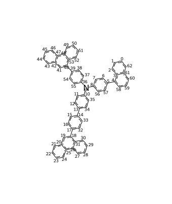 c1ccc2c(-c3ccc(N(c4ccc(-c5ccc(-c6cc7ccccc7c7ccccc67)cc5)cc4)c4ccc(-c5cc6ccccc6c6ccccc56)cc4)cc3)cccc2c1